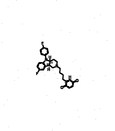 O=c1ccc(=O)n(CCCCN2CC[C@@H]3[C@@H](C2)c2cc(F)ccc2N3c2ccc(F)cc2)[nH]1